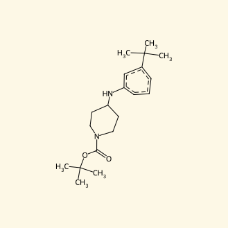 CC(C)(C)OC(=O)N1CCC(Nc2cccc(C(C)(C)C)c2)CC1